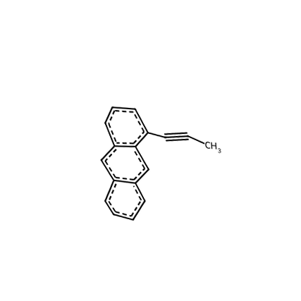 CC#Cc1cccc2cc3ccccc3cc12